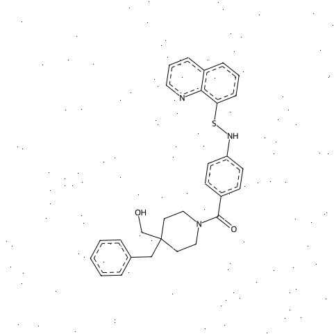 O=C(c1ccc(NSc2cccc3cccnc23)cc1)N1CCC(CO)(Cc2ccccc2)CC1